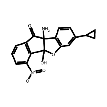 NC12C(=O)c3cccc([N+](=O)[O-])c3C1(O)Oc1cc(C3CC3)ccc12